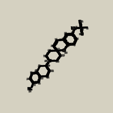 CS(=O)(=O)Nc1ccc2c(c1)C=CC1(CCN(C3CCc4cc(C#N)ccc4C3)CC1)O2